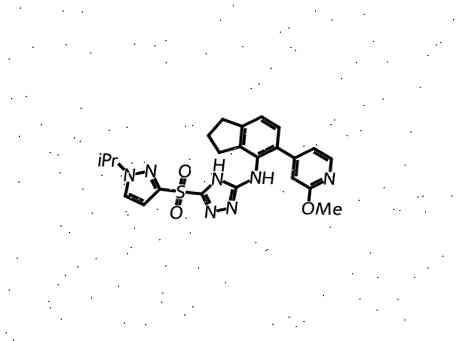 COc1cc(-c2ccc3c(c2Nc2nnc(S(=O)(=O)c4ccn(C(C)C)n4)[nH]2)CCC3)ccn1